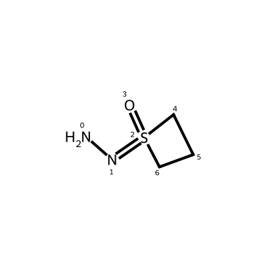 NN=S1(=O)CCC1